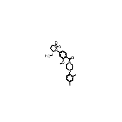 COc1cc(N2[C@H](CO)CCS2(=O)=O)ccc1C(=O)N1CCN(c2ccc(C)cc2C)CC1